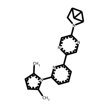 Cc1ccc(C)n1-c1cccc(-c2cnc(N3CC4C5C4C53)cn2)n1